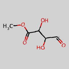 COC(=O)C(O)C(O)[C]=O